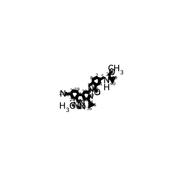 COCC1(NCc2ccc3c(c2)C(=O)N(c2cc(-c4ccc(C#N)cc4-c4nncn4C)cc(C4CC4)n2)C3)CC1